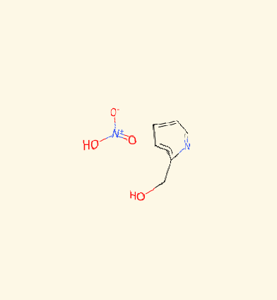 O=[N+]([O-])O.OCc1ccccn1